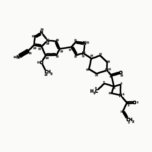 C=CC(=O)N1CC(CC)(C(=O)N2CCC(n3cc(-c4cc(OC)c5c(C#N)cnn5c4)cn3)CC2)C1